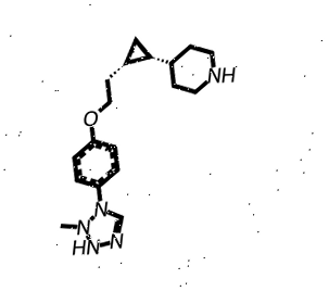 CN1NN=CN1c1ccc(OCC[C@@H]2C[C@@H]2C2CCNCC2)cc1